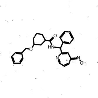 O=C(NC(c1ccccc1)c1cc(=NO)cccn1)C1CCCC(OCc2ccccc2)C1